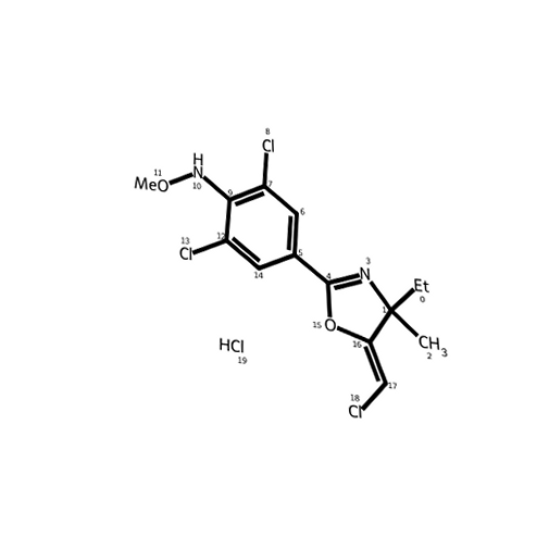 CCC1(C)N=C(c2cc(Cl)c(NOC)c(Cl)c2)OC1=CCl.Cl